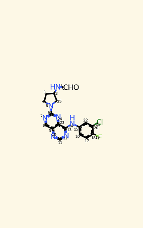 O=CNC1CCN(c2ncc3ncnc(Nc4ccc(F)c(Cl)c4)c3n2)C1